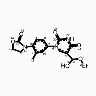 CCOC(O)c1cn(-c2ccc(N3CCOC3=O)c(C)c2)c(=O)[nH]c1=O